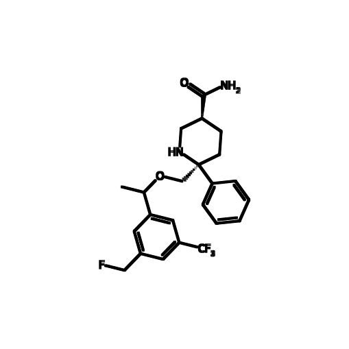 CC(OC[C@@]1(c2ccccc2)CC[C@H](C(N)=O)CN1)c1cc(CF)cc(C(F)(F)F)c1